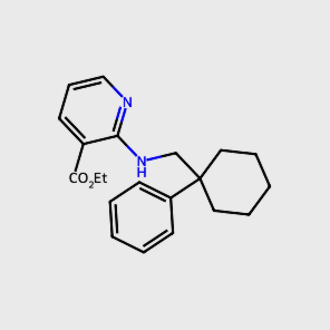 CCOC(=O)c1cccnc1NCC1(c2ccccc2)CCCCC1